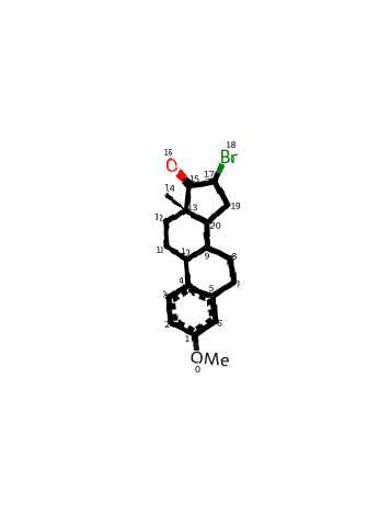 COc1ccc2c(c1)CCC1C2CC[C@]2(C)C(=O)C(Br)CC12